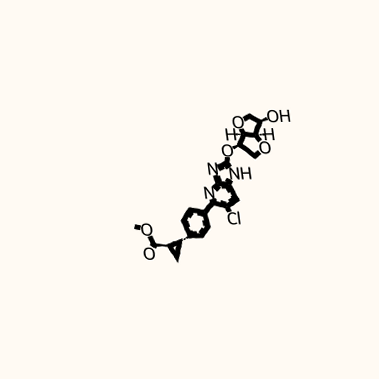 COC(=O)[C@@H]1C[C@H]1c1ccc(-c2nc3nc(O[C@@H]4CO[C@H]5[C@@H]4OC[C@H]5O)[nH]c3cc2Cl)cc1